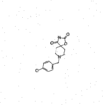 O=C1[N]C(=O)C2(CCN(Cc3ccc(Cl)cc3)CC2)O1